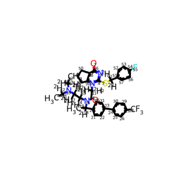 [2H]C([2H])(Sc1nc(=O)c2c(n1C([2H])([2H])C(=O)N(C([2H])(C)c1ccc(-c3ccc(C(F)(F)F)cc3)cc1)C([2H])([2H])C([2H])([2H])N(C([2H])([2H])C)C([2H])([2H])C)CCC2)c1ccc(F)cc1